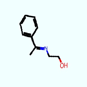 CC(=NCCO)c1ccccc1